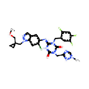 COCC1(Cn2ncc3cc(/N=c4\[nH]c(=O)n(Cc5ncn(C)n5)c(=O)n4Cc4cc(F)c(F)cc4F)c(Cl)cc32)CC1